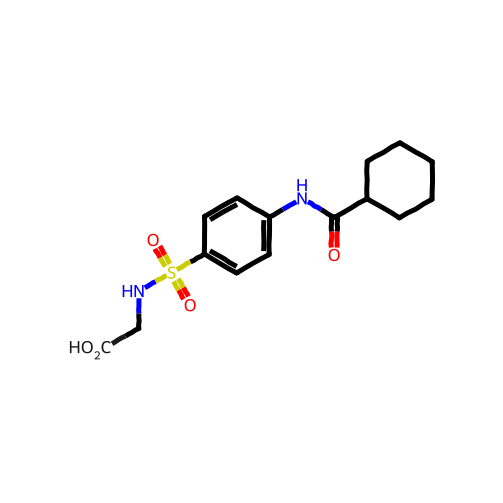 O=C(O)CNS(=O)(=O)c1ccc(NC(=O)C2CCCCC2)cc1